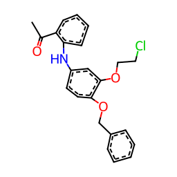 CC(=O)c1ccccc1Nc1ccc(OCc2ccccc2)c(OCCCl)c1